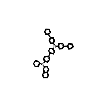 C1=CC(N(c2ccc(C3=CC=C(N(c4ccc(-c5ccccc5)cc4)c4ccc(-c5ccccc5)cc4)CC3)cc2)C2C=c3ccccc3=CC2)=CCC1